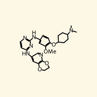 COc1cc(Nc2nccc(Nc3cnc4c(c3)OCCO4)n2)ccc1OC1CCC(N(C)C)CC1